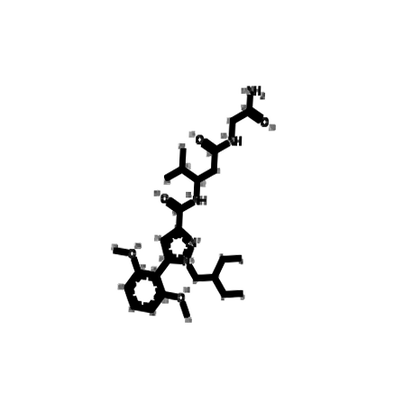 CCC(CC)Cn1nc(C(=O)NC(CC(=O)NCC(N)=O)C(C)C)cc1-c1c(OC)cccc1OC